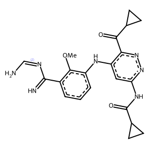 COc1c(Nc2cc(NC(=O)C3CC3)nnc2C(=O)C2CC2)cccc1C(=N)/N=C\N